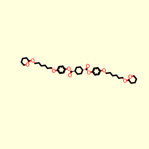 O=C(Oc1ccc(OCCCCCCOC2CCCCO2)cc1)[C@H]1CC[C@H](C(=O)Oc2ccc(OCCCCCCOC3CCCCO3)cc2)CC1